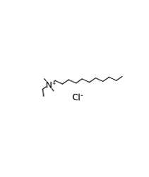 CCCCCCCCCCC[N+](C)(C)CC.[Cl-]